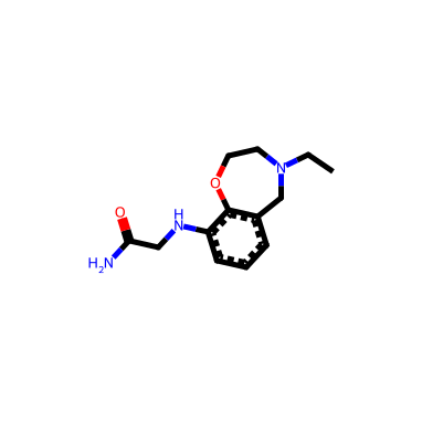 CCN1CCOc2c(cccc2NCC(N)=O)C1